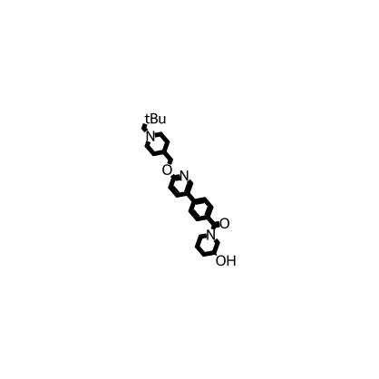 CC(C)(C)CN1CCC(COc2ccc(-c3ccc(C(=O)N4CCC[C@@H](O)C4)cc3)cn2)CC1